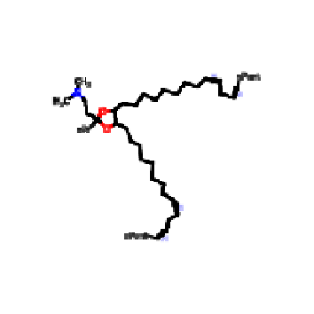 CCCCC/C=C\C/C=C\CCCCCCCCC1OC(CCC)(CCN(C)C)OC1CCCCCCCC/C=C\C/C=C\CCCCC